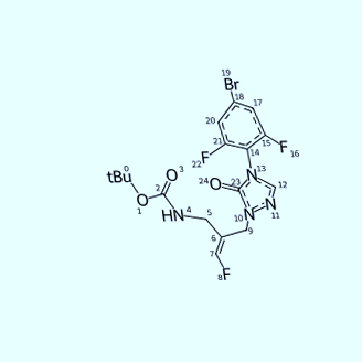 CC(C)(C)OC(=O)NC/C(=C/F)Cn1ncn(-c2c(F)cc(Br)cc2F)c1=O